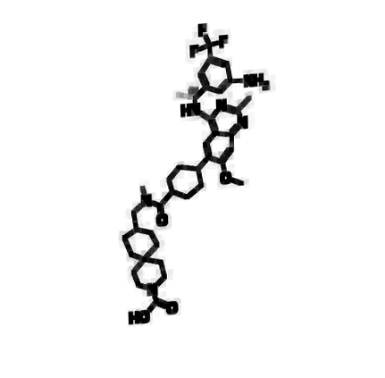 COc1cc2nc(C)nc(N[C@H](C)c3cc(N)cc(C(F)(F)F)c3)c2cc1C1CCC(C(=O)N(C)CC2CCC3(CC2)CCN(C(=O)O)CC3)CC1